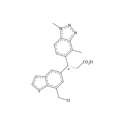 CCOC(=O)C[C@H](c1cc(CCl)c2sccc2c1)c1ccc2c(nnn2C)c1C